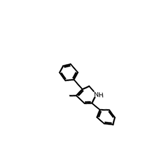 CC1=C(c2ccccc2)CNC(c2ccccc2)=C1